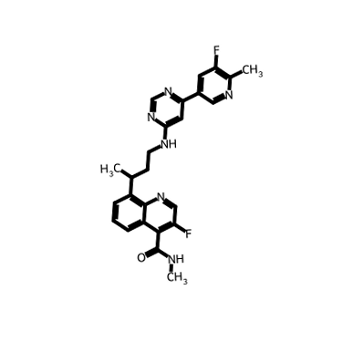 CNC(=O)c1c(F)cnc2c(C(C)CCNc3cc(-c4cnc(C)c(F)c4)ncn3)cccc12